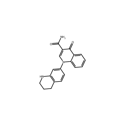 NC(=O)c1cn(-c2ccc3c(c2)NCCC3)c2ccccc2c1=O